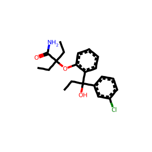 CCC(CC)(Oc1ccccc1C(O)(CC)c1cccc(Cl)c1)C(N)=O